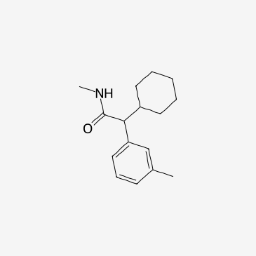 CNC(=O)C(c1cccc(C)c1)C1CCCCC1